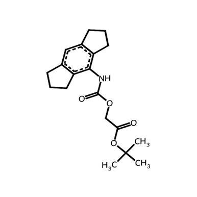 CC(C)(C)OC(=O)COC(=O)Nc1c2c(cc3c1CCC3)CCC2